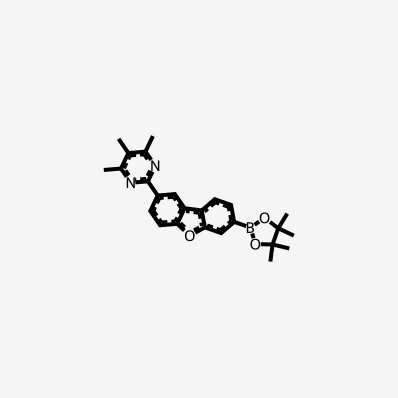 Cc1nc(-c2ccc3oc4cc(B5OC(C)(C)C(C)(C)O5)ccc4c3c2)nc(C)c1C